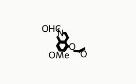 COc1ccc2c(c1OCC1CO1)CCN(C=O)C2